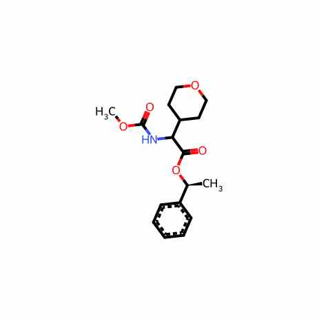 COC(=O)NC(C(=O)O[C@@H](C)c1ccccc1)C1CCOCC1